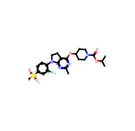 Cc1nc(OC2CCN(C(=O)OC(C)C)CC2)c2c(n1)N(c1ccc(S(C)(=O)=O)cc1F)CC2